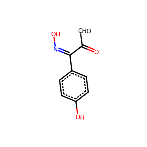 O=CC(=O)C(=NO)c1ccc(O)cc1